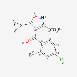 CCOC(=O)c1noc(C2CC2)c1C(=O)c1ccc(Cl)cc1Br